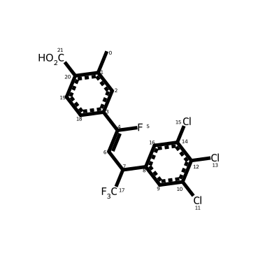 Cc1cc(C(F)=CC(c2cc(Cl)c(Cl)c(Cl)c2)C(F)(F)F)ccc1C(=O)O